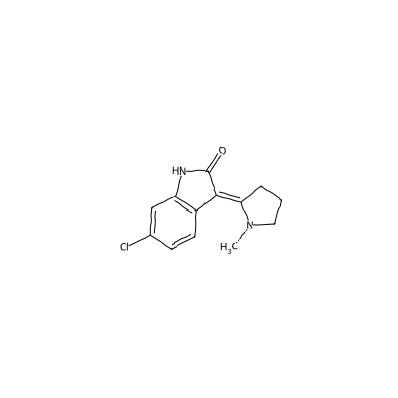 CN1CCCC1=C1C(=O)Nc2cc(Cl)ccc21